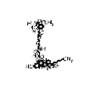 CCCCCC[C@](C)(O)C1CC[C@H]2[C@@H]3C[C@H](OC(=O)NCC(=O)NCCOCCOCC(=O)Nc4ccc(OC)c(C(N)=O)c4O)[C@H]4C[C@@H](O)CC[C@]4(C)[C@H]3CC[C@]12C